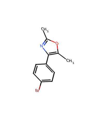 Cc1nc(-c2ccc(Br)cc2)c(C)o1